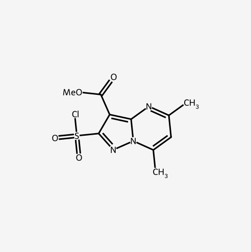 COC(=O)c1c(S(=O)(=O)Cl)nn2c(C)cc(C)nc12